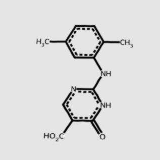 Cc1ccc(C)c(Nc2ncc(C(=O)O)c(=O)[nH]2)c1